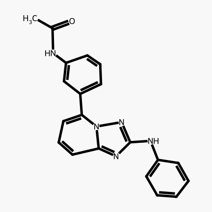 CC(=O)Nc1cccc(-c2cccc3nc(Nc4ccccc4)nn23)c1